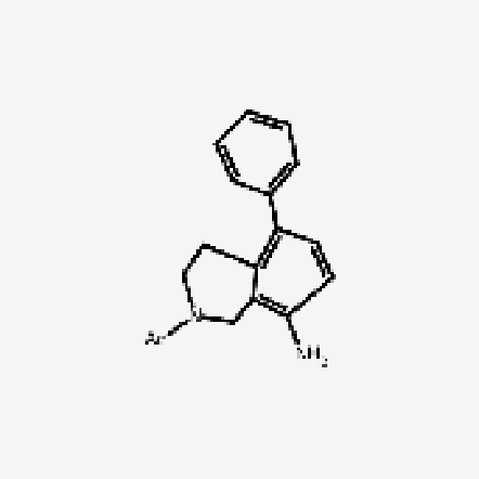 CC(=O)N1CCc2c(-c3ccccc3)ccc(N)c2C1